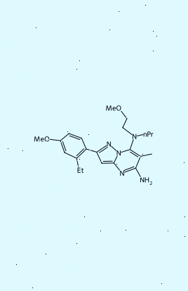 CCCN(CCOC)c1c(C)c(N)nc2cc(-c3ccc(OC)cc3CC)nn12